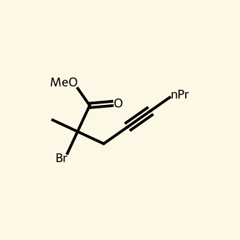 CCCC#CCC(C)(Br)C(=O)OC